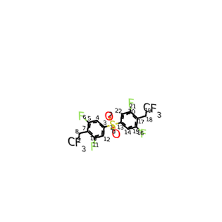 O=S(=O)(c1cc(F)c(CC(F)(F)F)c(F)c1)c1cc(F)c(CC(F)(F)F)c(F)c1